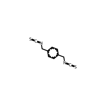 S=C=NCc1ccc(CN=C=S)cc1